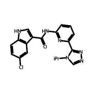 CC(C)n1cnnc1-c1cccc(NC(=O)c2c[nH]c3ccc(Cl)cc23)n1